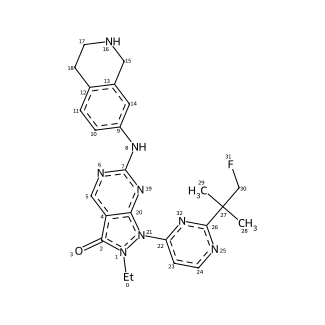 CCn1c(=O)c2cnc(Nc3ccc4c(c3)CNCC4)nc2n1-c1ccnc(C(C)(C)CF)n1